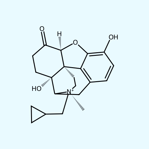 C[N@@+]1(CC2CC2)CC[C@@]23c4c5ccc(O)c4O[C@@H]2C(=O)CC[C@]3(O)C1C5